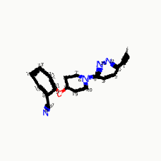 C#Cc1ccc(N2CCC(Oc3ccccc3C#N)CC2)nn1